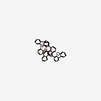 c1ccc(N(c2ccc(-c3cccc4c3oc3ccccc34)cc2)c2ccccc2-n2c3ccccc3c3ccccc32)c(-c2cccc3oc4c5ccccc5ccc4c23)c1